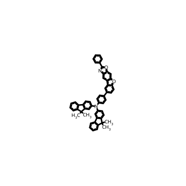 CC1(C)c2ccccc2-c2cc(N(c3ccc(-c4ccc5oc6cc7oc(-c8ccccc8)nc7cc6c5c4)cc3)c3ccc4c(c3)C(C)(C)c3ccccc3-4)ccc21